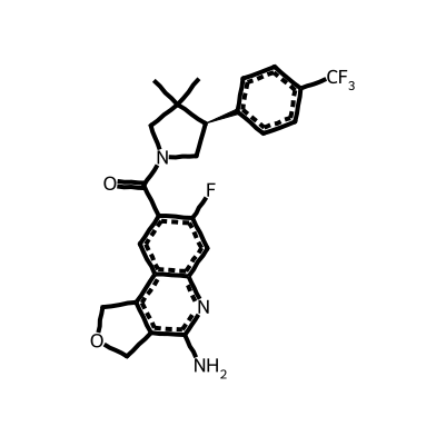 CC1(C)CN(C(=O)c2cc3c4c(c(N)nc3cc2F)COC4)C[C@@H]1c1ccc(C(F)(F)F)cc1